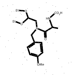 CCOC(CN(Cc1ccc(OC)cc1)C(=O)C(C)NC(=O)O)OCC